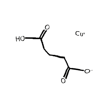 O=C([O-])CCC(=O)O.[Cu+]